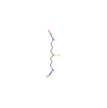 O=C=NCCCC(S)CCCN=C=O